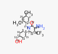 Cc1ccc(Cn2c(-c3ccc(CO)cc3)cc(C(F)(F)F)c(N)c2=O)c(C)c1